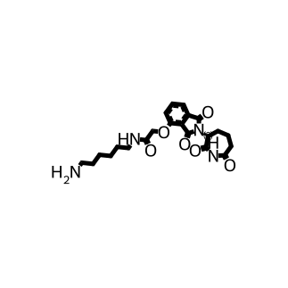 NCCCCCCNC(=O)COc1cccc2c1C(=O)N([C@H]1CCCC(=O)NC1=O)C2=O